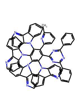 Cc1cccc(-c2c(-c3nc(-c4ccccc4)nc(-c4ccccc4)n3)c(-n3c4ccccc4c4ncccc43)c(-n3c4ccccc4c4ncccc43)c(-n3c4ccccc4c4ncccc43)c2-n2c3ccccc3c3ncccc32)n1